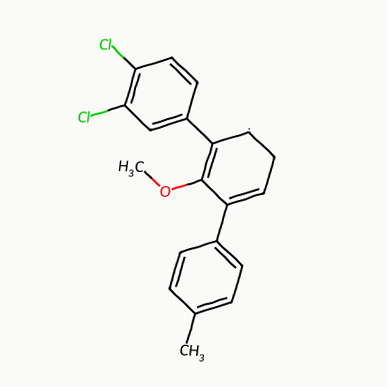 COC1=C(c2ccc(Cl)c(Cl)c2)[CH]CC=C1c1ccc(C)cc1